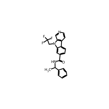 CC(NC(=O)c1ccc2c3ccncc3n(CC(F)(F)F)c2c1)c1ccccc1